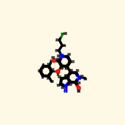 Cc1cccc(C)c1Oc1c(-c2cn(C)c(=O)c3[nH]ccc23)ccn(CCCF)c1=O